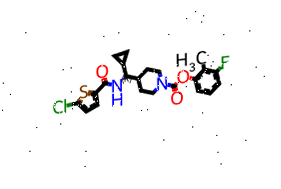 Cc1c(F)cccc1OC(=O)N1CCC([C@H](NC(=O)c2ccc(Cl)s2)C2CC2)CC1